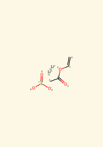 C=COC(C)=O.O=S([O-])[O-].[Li+].[Li+]